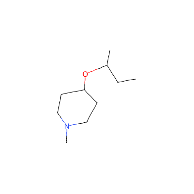 CCC(C)OC1CCN(C)CC1